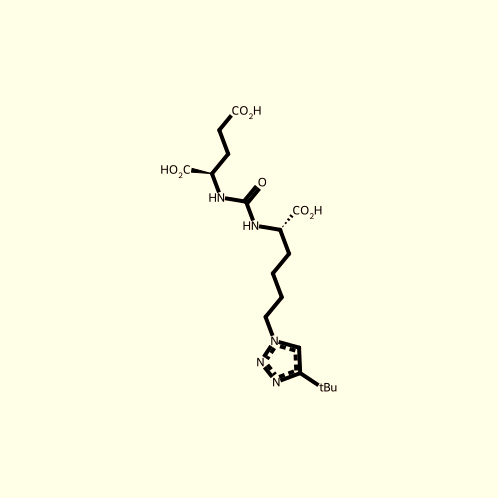 CC(C)(C)c1cn(CCCC[C@H](NC(=O)N[C@H](CCC(=O)O)C(=O)O)C(=O)O)nn1